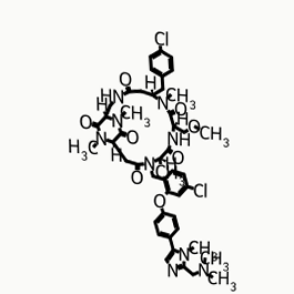 COC[C@@H]1NC(=O)[C@H](C)N(Cc2ccc(Cl)cc2Oc2ccc(-c3cnc(CN(C)C)n3C)cc2)C(=O)C[C@H]2C(=O)N(C)[C@@H](CNC(=O)C[C@H](Cc3ccc(Cl)cc3)N(C)C1=O)C(=O)N2C